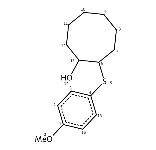 COc1ccc(SC2CCCCCCC2O)cc1